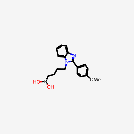 COc1ccc(-c2nc3ccccc3n2CCCCB(O)O)cc1